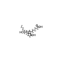 CCCCCC(C)(O)CC[C@@]1([C](F)F)CC[C@H](O)[C@H]1CC=CCCCC(=O)O